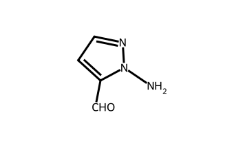 Nn1nccc1C=O